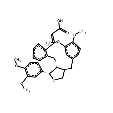 COc1ccc(C[C@H]2CO[C@H](c3ccc(OC)c(OC)c3)[C@@H]2Cc2ccccc2/C=C/C(=O)O)cc1OC